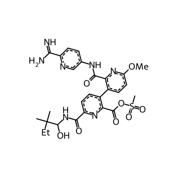 CCC(C)(C)C(O)NC(=O)c1ccc(-c2ccc(OC)nc2C(=O)Nc2ccc(C(=N)N)nc2)c(C(=O)OS(C)(=O)=O)n1